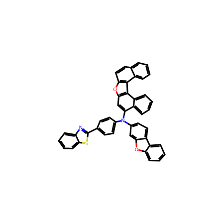 c1ccc2c(c1)ccc1oc3cc(N(c4ccc(-c5nc6ccccc6s5)cc4)c4ccc5c(c4)oc4ccccc45)c4ccccc4c3c12